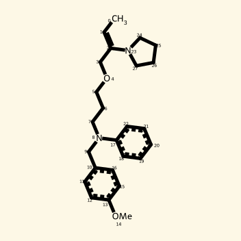 CC=C(COCCCN(Cc1ccc(OC)cc1)c1ccccc1)N1CCCC1